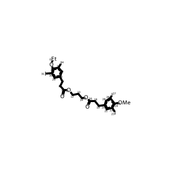 CCOc1c(I)cc(CCC(=O)OCCCOC(=O)CCc2cc(I)c(OC)c(I)c2)cc1I